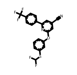 N#Cc1cc(Oc2cccc(SC(F)F)c2)nc(-c2ccc(C(F)(F)F)cc2)c1